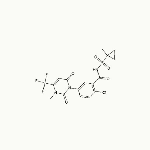 Cn1c(C(F)(F)F)cc(=O)n(-c2ccc(Cl)c(C(=O)NS(=O)(=O)C3(C)CC3)c2)c1=O